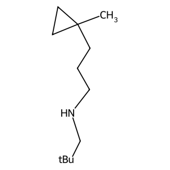 CC(C)(C)CNCCCC1(C)CC1